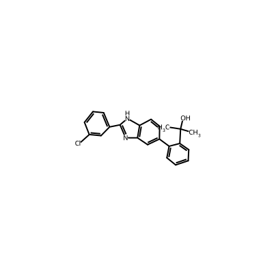 CC(C)(O)c1ccccc1-c1ccc2[nH]c(-c3cccc(Cl)c3)nc2c1